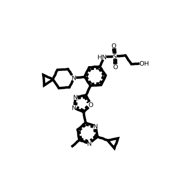 Cc1cc(-c2nnc(-c3ccc(NS(=O)(=O)CCO)cc3N3CCC4(CC3)CC4)o2)nc(C2CC2)n1